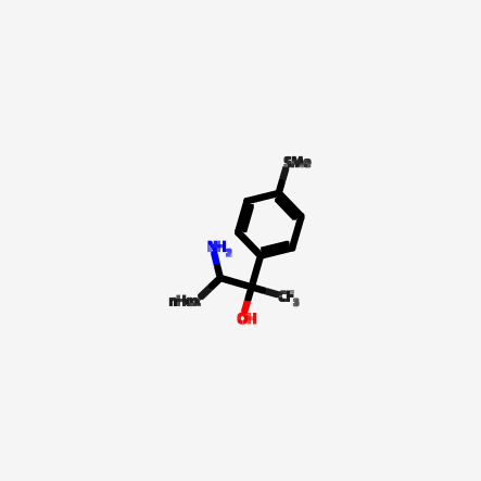 CCCCCCC(N)C(O)(c1ccc(SC)cc1)C(F)(F)F